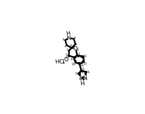 Cl.O=C1CC2(CCNCC2)Oc2ccc(-c3cn[nH]c3)cc21